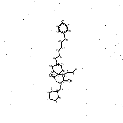 CCCN1C(=O)[C@H](CC2CCCCC2)NC(=O)C12CCN(CCCCCCc1ccccc1)CC2